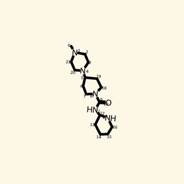 CN1CCN(C2CCN(C(=O)NC3C[CH]CCN3)CC2)CC1